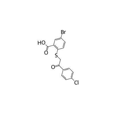 O=C(CSc1ccc(Br)cc1C(=O)O)c1ccc(Cl)cc1